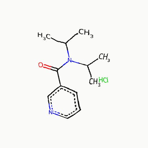 CC(C)N(C(=O)c1cccnc1)C(C)C.Cl